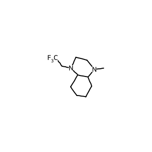 CN1CCN(CC(F)(F)F)C2CCCCC21